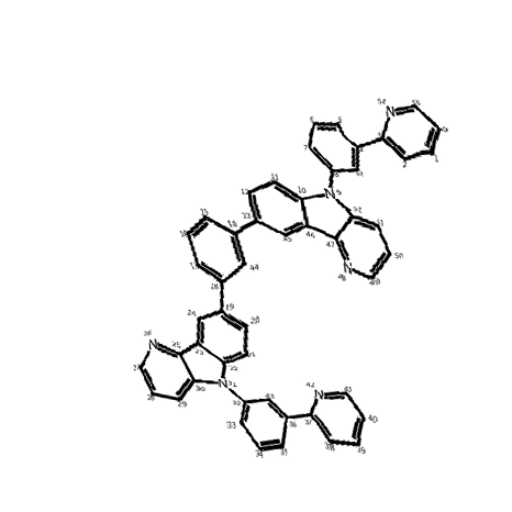 c1ccc(-c2cccc(-n3c4ccc(-c5cccc(-c6ccc7c(c6)c6ncccc6n7-c6cccc(-c7ccccn7)c6)c5)cc4c4ncccc43)c2)nc1